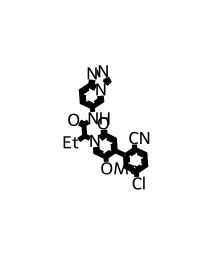 CCC(C(=O)Nc1ccc2nncn2c1)n1cc(OC)c(-c2cc(Cl)ccc2C#N)cc1=O